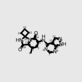 Cc1cc(Nc2ncnc3[nH]ncc23)c(=O)n2c1C(=O)NC21CCC1